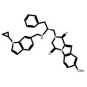 COc1ccc2c(c1)cc1n2C(=O)CN(C[C@H](Cc2ccccc2)NCc2ccc3ccn(C4CC4)c3c2)C1=O